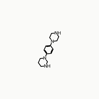 c1cc(N2CCCNC2)ccc1N1CCNCC1